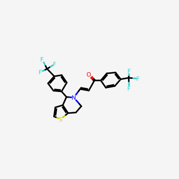 O=C(C=CN1CCc2sccc2C1c1ccc(C(F)(F)F)cc1)c1ccc(C(F)(F)F)cc1